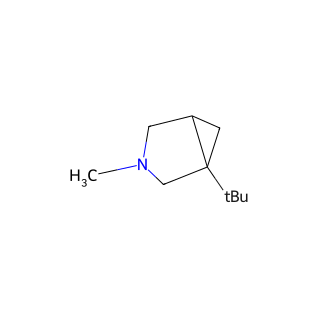 CN1CC2CC2(C(C)(C)C)C1